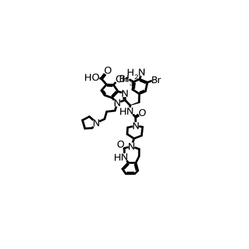 Cc1c(C(=O)O)ccc2c1nc([C@@H](Cc1cc(Br)c(N)c(Br)c1)NC(=O)N1CCC(N3CCc4ccccc4NC3=O)CC1)n2CCCN1CCCC1